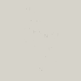 C=CC(=O)OCC(=O)C(Cc1cccnc1)C(CC)N(C)C